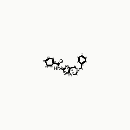 CC(C)CN(Cc1ccccc1)Cc1csc(NC(=O)c2ccccc2)n1